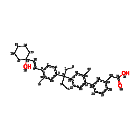 CCC(CC)(c1ccc(/C=C/C2(O)CCCCC2)c(C)c1)c1ccc(-c2cccc(CC(=O)O)c2)c(C)c1